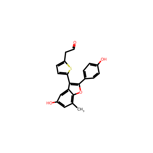 Cc1cc(O)cc2c(-c3ccc(CC=O)s3)c(-c3ccc(O)cc3)oc12